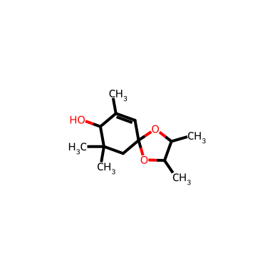 CC1=CC2(CC(C)(C)C1O)OC(C)C(C)O2